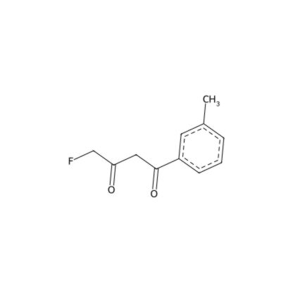 Cc1cccc(C(=O)CC(=O)CF)c1